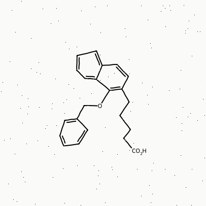 O=C(O)CCCCc1ccc2ccccc2c1OCc1ccccc1